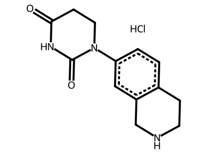 Cl.O=C1CCN(c2ccc3c(c2)CNCC3)C(=O)N1